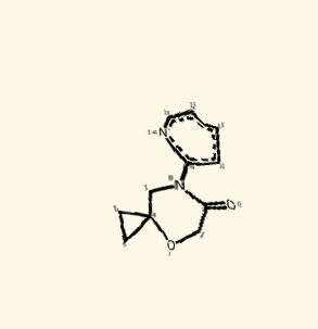 O=C1COC2(CC2)CN1c1ccccn1